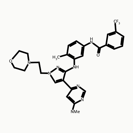 CNc1cc(-c2cn(CCN3CCOCC3)nc2Nc2cc(NC(=O)c3cccc(C(F)(F)F)c3)ccc2C)ncn1